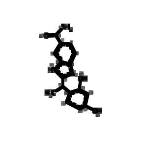 CC(c1nc2ccc(C(N)=O)cc2[nH]1)c1ccc(O)cc1O